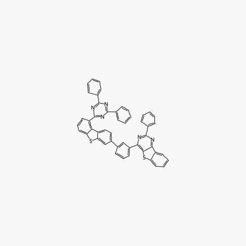 c1ccc(-c2nc(-c3ccccc3)nc(-c3cccc4sc5cc(-c6cccc(-c7nc(-c8ccccc8)nc8c7sc7ccccc78)c6)ccc5c34)n2)cc1